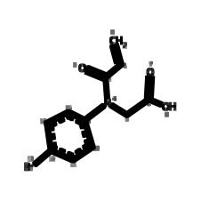 C=CC(=O)N(CC(=O)O)c1ccc(Br)cc1